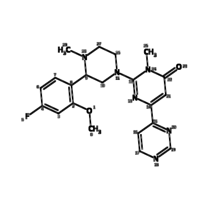 COc1cc(F)ccc1C1CN(c2nc(-c3ccncn3)cc(=O)n2C)CCN1C